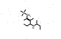 CCC(C)NC(CC)C(C)=C(C)[SiH2][Si](C)(C)C